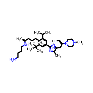 C=C(CCCC/C(=C\C(=C/C(C)C(C)(C)C)C1=NC(C)C(C/C(=C\C)N2CCN(C)CC2)N1)C(C)C)NCCCCN